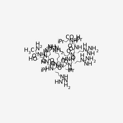 CC(C)C[C@H](NC(=O)[C@H](CC(C)C)NC(=O)[C@H](CCCNC(=N)N)NC(=O)[C@H](CCCCN)NC(=O)[C@H](CCCNC(=N)N)NC(=O)[C@H](CC(C)C)NC(=O)[C@H](CCCCN)NC(=O)[C@H](CCCNC(=N)N)NC(=O)[C@H](CC(C)C)NC(=O)[C@H](Cc1c[nH]cn1)NC(=O)[C@H](CO)NC(=O)[C@H](C)N)C(=O)O